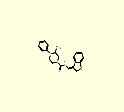 CC1CN(C(=S)N/C=C2/COc3ccccc32)CCN1c1ccccc1